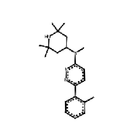 Cc1ccccc1-c1ccc(N(C)C2CC(C)(C)NC(C)(C)C2)nn1